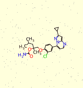 CC(C)CC(C)(COc1ccc(-c2ccnc3cc(C4CC4)nn23)cc1Cl)OC(N)=O